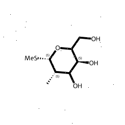 CS[C@@H]1OC(CO)[C@@H](O)C(O)[C@@H]1C